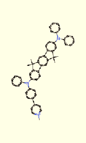 C[n+]1ccc(-c2ccc(N(c3ccccc3)c3ccc4c(c3)C(C)(C)c3cc5c(cc3-4)C(C)(C)c3cc(N(c4ccccc4)c4ccccc4)ccc3-5)cc2)cc1